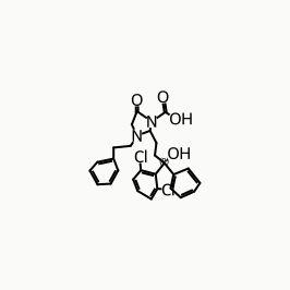 O=C(O)N1C(=O)CN(CCc2ccccc2)C1CC[C@@](O)(c1ccccc1)c1c(Cl)cccc1Cl